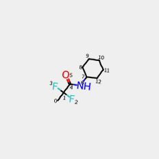 CC(F)(F)C(=O)NC1CCCCC1